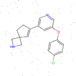 Clc1ccc(Oc2cncc(C3=CC4(CC3)CNC4)c2)cc1